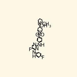 CC1CCCN1CC1(O)CCN(S(=O)(=O)c2ccc(Nc3ncc(F)c(Nc4ccc(F)cc4)n3)cc2)CC1